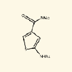 CNC(=O)c1csc(NC(C)=O)c1